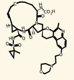 Cc1nc2ccc(OCCN3CCOCC3)cc2c2c1O[C@]1(CC2)C[C@H]2C(=O)N[C@]3(C(=O)NS(=O)(=O)C4(C)CC4)C[C@H]3/C=C\CCCCC[C@H](NC(=O)O)C(=O)N2C1